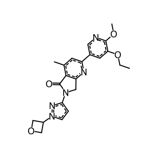 CCOc1cc(-c2cc(C)c3c(n2)CN(c2ccn(C4COC4)n2)C3=O)cnc1OC